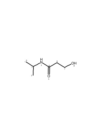 [CH2]C(C)NC(=O)CCO